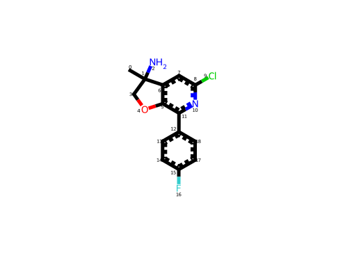 CC1(N)COc2c1cc(Cl)nc2-c1ccc(F)cc1